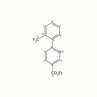 CCOC(=O)c1ccc(-c2ccccc2C(F)(F)F)nc1